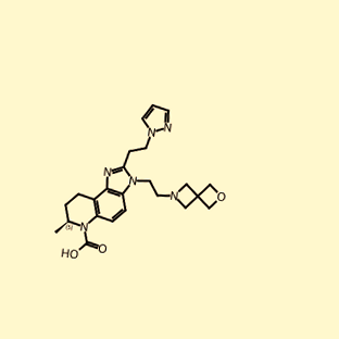 C[C@H]1CCc2c(ccc3c2nc(CCn2cccn2)n3CCN2CC3(COC3)C2)N1C(=O)O